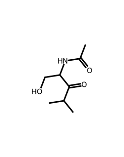 CC(=O)NC(CO)C(=O)C(C)C